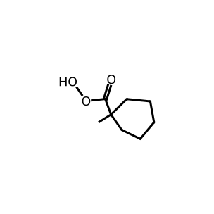 CC1(C(=O)OO)CCCCC1